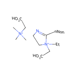 CCCCCCCCCC1=NCC[N+]1(CC)CC(=O)O.C[N+](C)(C)CC(=O)O